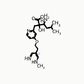 CN/C=C(\C=N)CCOc1ccnc(CC(O)(C(=O)O)C(N)CC(C)C)c1